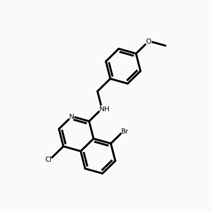 COc1ccc(CNc2ncc(Cl)c3cccc(Br)c23)cc1